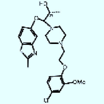 COc1cc(Cl)ccc1OCCN1CCN(C(Oc2ccc3sc(C)nc3c2)[C@@H](C)O)CC1